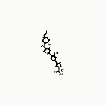 CCC[C@]1(C)CC[C@H](F)[C@H](N(C)c2cnc(-c3ccc(-c4nnn(C(S)(S)S)n4)cc3O)nn2)C1